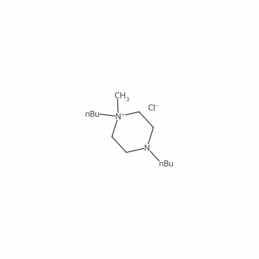 CCCCN1CC[N+](C)(CCCC)CC1.[Cl-]